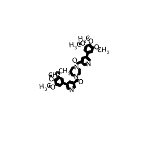 COc1cc(-c2cncc(C(=O)N3CCCN(C(=O)c4cncc(-c5cc(OC)c(OC)c(OC)c5)c4)CC3)c2)cc(OC)c1OC